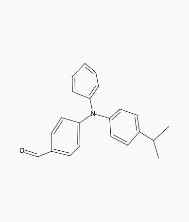 CC(C)c1ccc(N(c2ccccc2)c2ccc(C=O)cc2)cc1